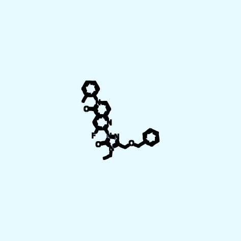 CCn1c(COCc2ccccc2)nn(-c2nc3ccn(-c4ccccc4C)c(=O)c3cc2F)c1=O